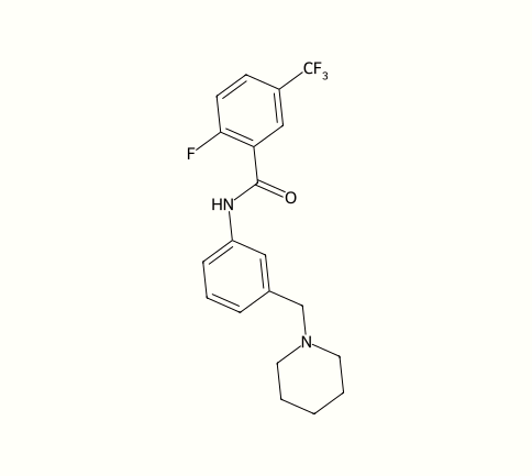 O=C(Nc1cccc(CN2CCCCC2)c1)c1cc(C(F)(F)F)ccc1F